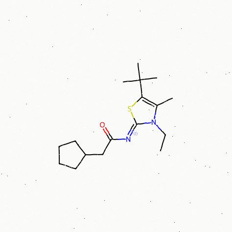 CCn1c(C)c(C(C)(C)C)s/c1=N\C(=O)CC1CCCC1